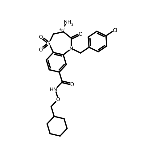 N[C@H]1CS(=O)(=O)c2ccc(C(=O)NOCC3CCCCC3)cc2N(Cc2ccc(Cl)cc2)C1=O